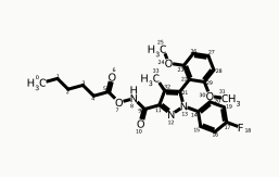 CCCCCC(=O)ONC(=O)c1nn(-c2ccc(F)cc2)c(-c2c(OC)cccc2OC)c1C